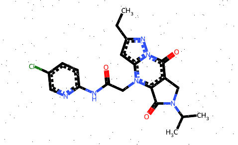 CCc1cc2n(CC(=O)Nc3ccc(Cl)cn3)c3c(c(=O)n2n1)CN(C(C)C)C3=O